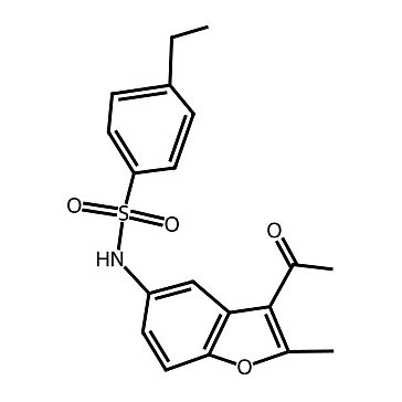 CCc1ccc(S(=O)(=O)Nc2ccc3oc(C)c(C(C)=O)c3c2)cc1